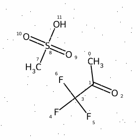 CC(=O)C(F)(F)F.CS(=O)(=O)O